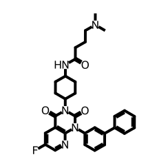 CN(C)CCCC(=O)NC1CCC(n2c(=O)c3cc(F)cnc3n(-c3cccc(-c4ccccc4)c3)c2=O)CC1